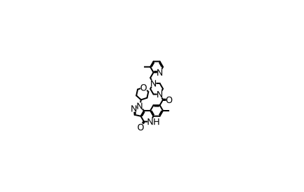 Cc1cc2[nH]c(=O)c3cnn(C4CCOCC4)c3c2cc1C(=O)N1CCN(Cc2ncccc2C)CC1